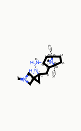 CN1CC2(C1)C[C@@]2(N)CC1[C@H](N)C[C@H]2CC[C@@H]1N2C